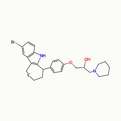 OC(COc1ccc(C2CCCCc3c2[nH]c2ccc(Br)cc32)cc1)CN1CCCCC1